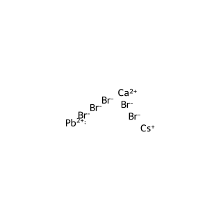 [Br-].[Br-].[Br-].[Br-].[Br-].[Ca+2].[Cs+].[Pb+2]